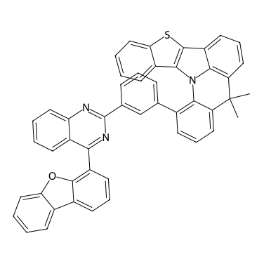 CC1(C)c2cccc(-c3cccc(-c4nc(-c5cccc6c5oc5ccccc56)c5ccccc5n4)c3)c2-n2c3c1cccc3c1sc3ccccc3c12